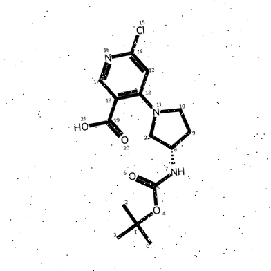 CC(C)(C)OC(=O)N[C@H]1CCN(c2cc(Cl)ncc2C(=O)O)C1